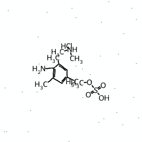 CNC.COS(=O)(=O)O.Cc1cc(C)c(N)c(C)c1.Cl